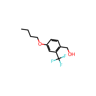 CCCCOc1ccc(CO)c(C(F)(F)F)c1